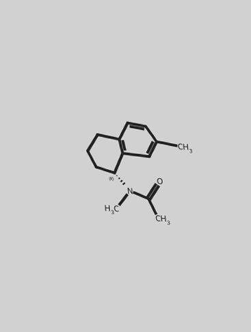 CC(=O)N(C)[C@@H]1CCCc2ccc(C)cc21